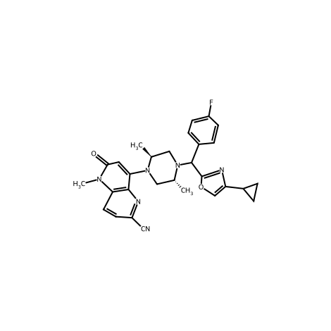 C[C@@H]1CN(c2cc(=O)n(C)c3ccc(C#N)nc23)[C@@H](C)CN1C(c1ccc(F)cc1)c1nc(C2CC2)co1